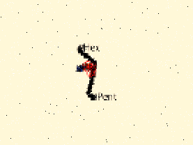 CCCCC/C=C\C/C=C\CCCCCCCCCC(=O)O[C@H](CO/C=C\CCCCCCCC/C=C\CCCCCC)COP(=O)(O)OCC[N+](C)(C)C